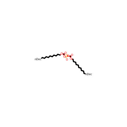 CCCCCCCCCCCCCCCCCCCCOC(=O)O[PH](=O)OC(=O)OCCCCCCCCCCCCCCCCCCCC